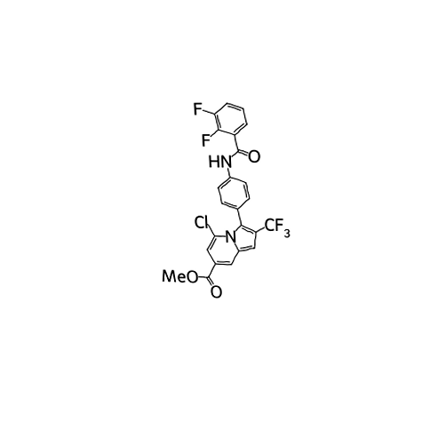 COC(=O)c1cc(Cl)n2c(-c3ccc(NC(=O)c4cccc(F)c4F)cc3)c(C(F)(F)F)cc2c1